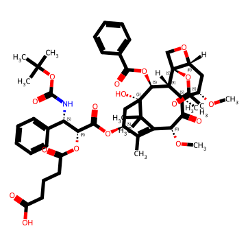 CO[C@H]1C(=O)[C@]2(C)[C@@H](OC)C[C@H]3OC[C@@]3(OC(C)=O)[C@H]2[C@H](OC(=O)c2ccccc2)[C@]2(O)C[C@H](OC(=O)[C@H](OC(=O)CCCC(=O)O)[C@@H](NC(=O)OC(C)(C)C)c3ccccc3)C(C)=C1C2(C)C